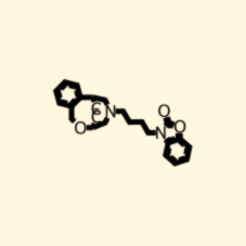 O=c1oc2ccccc2n1CCCCN1CC2CCC(C1)c1ccccc1CO2